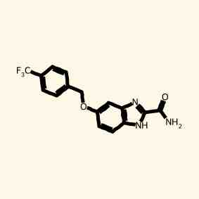 NC(=O)c1nc2cc(OCc3ccc(C(F)(F)F)cc3)ccc2[nH]1